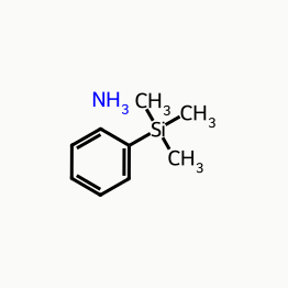 C[Si](C)(C)c1ccccc1.N